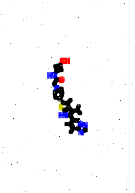 Cc1c(-c2[nH]c3sc([C@@H]4CC5CC4CN5CC(=O)NC45CC(O)(C4)C5)c(C)c3c2C(C)C)cn2ncnc2c1C